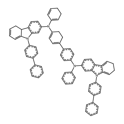 C1=CCC2C(=C1)N(c1ccc(-c3ccccc3)cc1)c1cc(N(C3=CCCC=C3)C3=CC=C(c4ccc(N(c5ccccc5)c5ccc6c7c(n(-c8ccc(-c9ccccc9)cc8)c6c5)=CCCC=7)cc4)CC3)ccc12